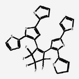 FC1(F)C(c2cc(-c3cccs3)sc2C2=CCCS2)=C(c2cc(-c3cccs3)sc2-c2cccs2)C(F)(F)C1(F)F